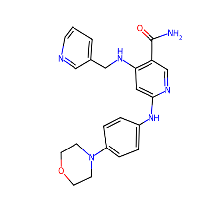 NC(=O)c1cnc(Nc2ccc(N3CCOCC3)cc2)cc1NCc1cccnc1